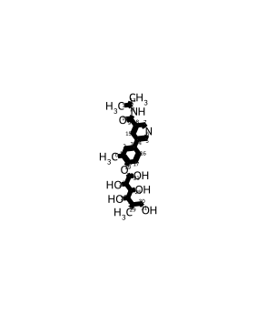 Cc1cc(-c2cncc(C(=O)NC(C)C)c2)ccc1OC(O)C(O)C(O)C(O)C(C)CO